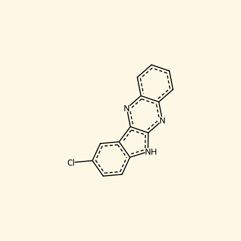 Clc1ccc2[nH]c3nc4ccccc4nc3c2c1